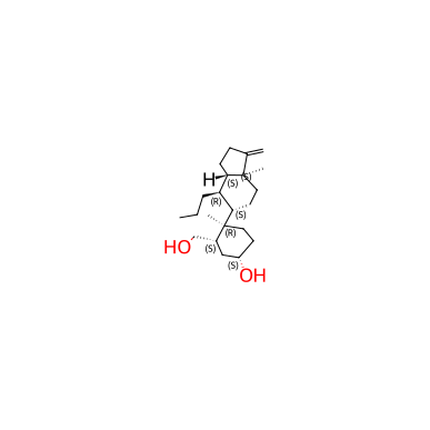 C=C1CC[C@H]2[C@H](CCC)[C@@H]([C@@]3(C)CC[C@H](O)C[C@@H]3CO)CC[C@]12C